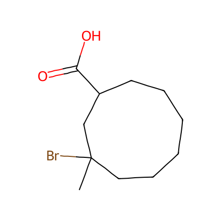 CC1(Br)CCCCCCC(C(=O)O)C1